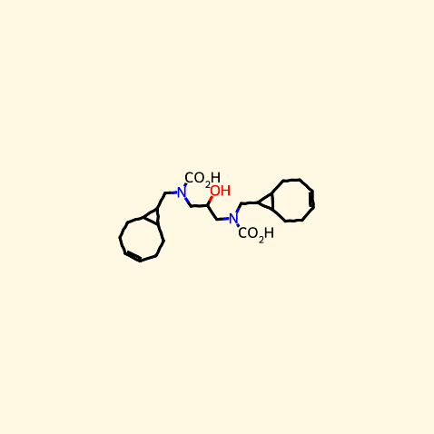 O=C(O)N(CC(O)CN(CC1C2CCC=CCCC21)C(=O)O)CC1C2CCC=CCCC21